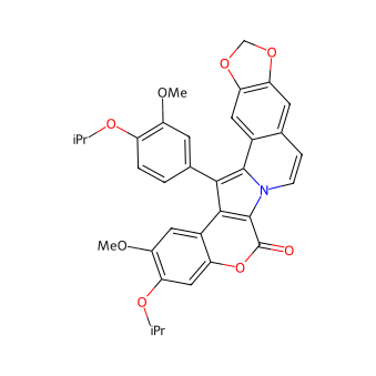 COc1cc(-c2c3c4cc(OC)c(OC(C)C)cc4oc(=O)c3n3ccc4cc5c(cc4c23)OCO5)ccc1OC(C)C